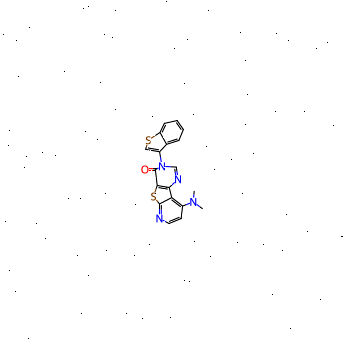 CN(C)c1ccnc2sc3c(=O)n(-c4csc5ccccc45)cnc3c12